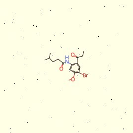 CCC(=O)c1cc(Br)c(OC)cc1NC(=O)CCC(C)C